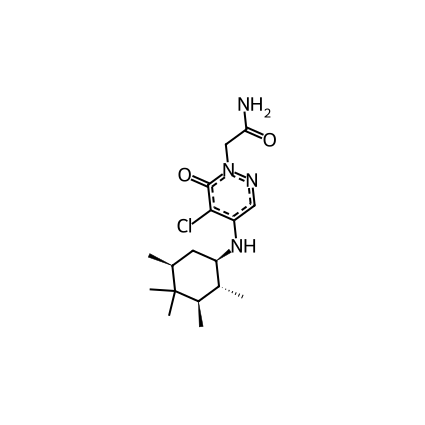 C[C@@H]1[C@@H](C)C(C)(C)[C@@H](C)C[C@H]1Nc1cnn(CC(N)=O)c(=O)c1Cl